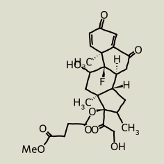 COC(=O)CCC(=O)O[C@]1(C(=O)CO)C(C)C[C@H]2[C@@H]3CC(=O)C4=CC(=O)C=C[C@]4(C)[C@@]3(F)C(O)C[C@@]21C